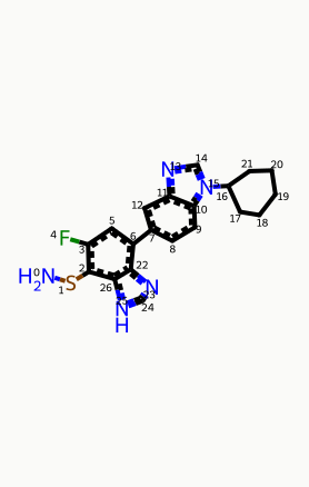 NSc1c(F)cc(-c2ccc3c(c2)ncn3C2CCCCC2)c2nc[nH]c12